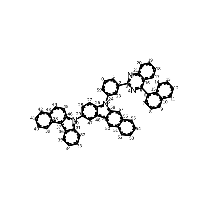 c1cc(-c2nc(-c3cccc4ccccc34)c3ccccc3n2)cc(-n2c3ccc(-n4c5ccccc5c5c6ccccc6ccc54)cc3c3cc4ccccc4cc32)c1